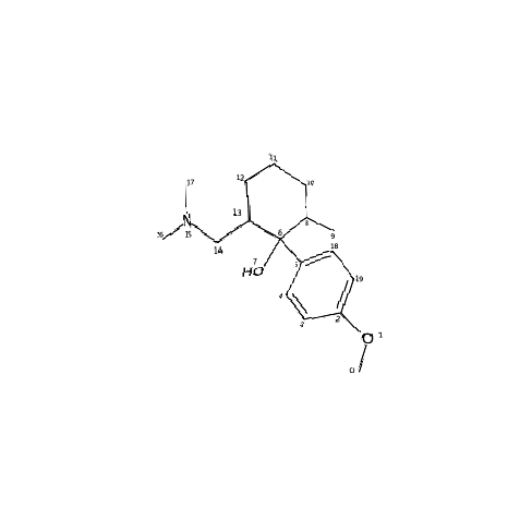 COc1ccc(C2(O)C(C)CCCC2CN(C)C)cc1